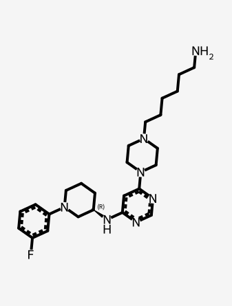 NCCCCCCN1CCN(c2cc(N[C@@H]3CCCN(c4cccc(F)c4)C3)ncn2)CC1